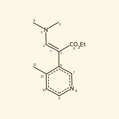 CCOC(=O)/C(=C\N(C)C)c1cnccc1C